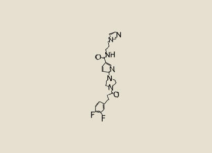 O=C(NCCCn1ccnc1)c1ccc(N2CCN(C(=O)CCc3ccc(F)c(F)c3)CC2)nc1